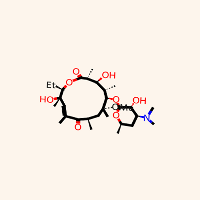 CC[C@H]1OC(=O)[C@H](C)[C@@H](O)[C@H](C)[C@@H](OC2O[C@H](C)C[C@H](N(C)C)[C@H]2O)[C@](C)(OC)C[C@@H](C)C(=O)/C(C)=C/[C@]1(C)O